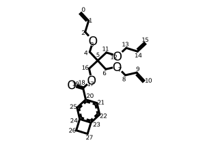 C=CCOCC(COCC=C)(COCC=C)COC(=O)c1ccc2c(c1)CC2